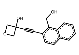 OCc1c(C#CC2(O)COC2)ccc2ccccc12